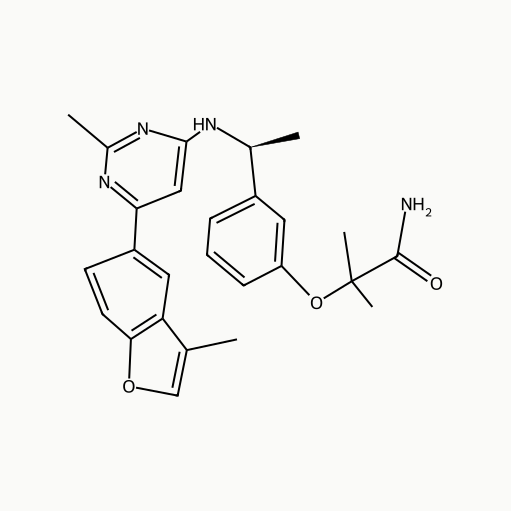 Cc1nc(N[C@@H](C)c2cccc(OC(C)(C)C(N)=O)c2)cc(-c2ccc3occ(C)c3c2)n1